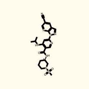 CC(C)Nc1cc(-n2ncc3cc(C#N)cnc32)ncc1C(=O)N[C@@H]1CCCN(S(C)(=O)=O)C1